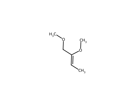 CC=C(COC)OC